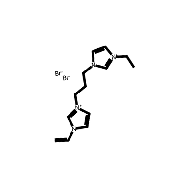 C=Cn1cc[n+](CCCn2cc[n+](CC)c2)c1.[Br-].[Br-]